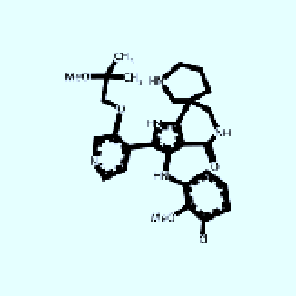 COc1c(Cl)cccc1Nc1c(-c2ccncc2OCC(C)(C)OC)[nH]c2c1C(=O)NCC21CCCNC1